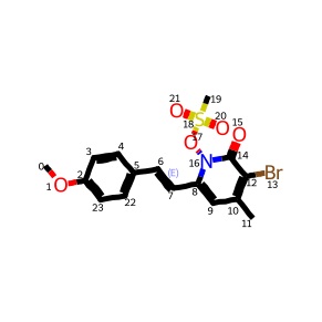 COc1ccc(/C=C/c2cc(C)c(Br)c(=O)n2OS(C)(=O)=O)cc1